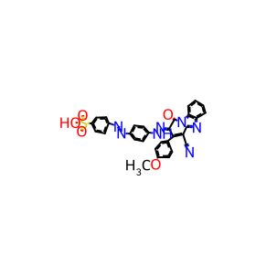 COc1ccc(C2=C(C#N)c3nc4ccccc4n3C(=O)/C2=N/Nc2ccc(N=Nc3ccc(S(=O)(=O)O)cc3)cc2)cc1